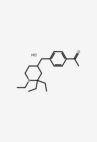 CCN1CCC(Cc2ccc(C(C)=O)cc2)CC1(CC)CC.Cl